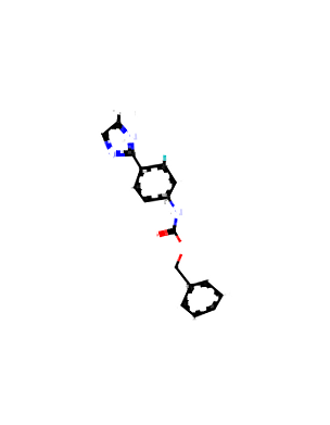 Cc1cnc(-c2ccc(NC(=O)OCc3ccccc3)cc2F)[nH]1